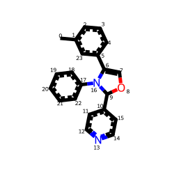 Cc1cccc(C2=COC(c3ccncc3)N2c2ccccc2)c1